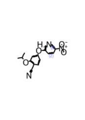 C=C(/C=C\C(=C/N)[N+](=O)[O-])Oc1ccc(C#N)c(OC(C)C)c1